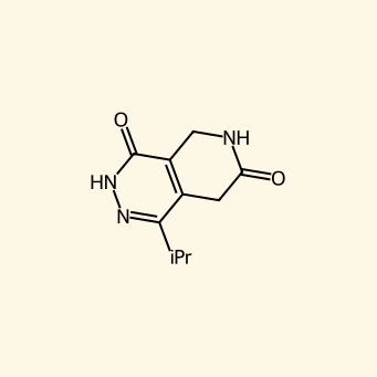 CC(C)c1n[nH]c(=O)c2c1CC(=O)NC2